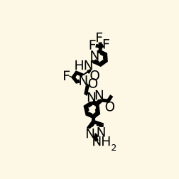 CC(=O)c1nn(CC(=O)N2C[C@H](F)C[C@H]2C(=O)Nc2cccc(C(F)(F)F)n2)c2ccc(-c3cnc(N)nc3)cc12